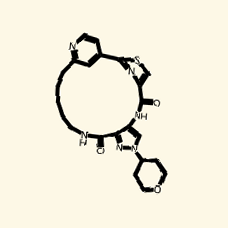 O=C1Nc2cn(C3CCOCC3)nc2C(=O)NCCCCCc2cc(ccn2)-c2nc1cs2